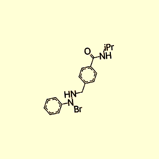 CC(C)NC(=O)c1ccc(CNN(Br)c2ccccc2)cc1